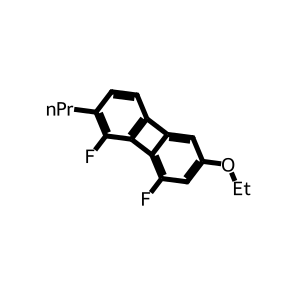 CCCc1ccc2c(c1F)-c1c(F)cc(OCC)cc1-2